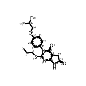 CCCSc1nc2c(c(=O)n1-c1ccc(OCC(F)F)cc1)CC(=O)N2